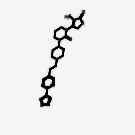 CC1=C(N2CCCN(C3CCN(CCc4ccc(-n5cnnn5)nc4)CC3)C2=O)COC1=O